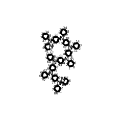 c1ccc(N(c2ccc(N(c3ccccc3)c3ccc(N(c4ccccc4)c4ccc(N(c5ccccc5)c5ccccn5)cc4)cc3)cc2)c2ccc(N(c3ccccc3)c3ccc(N(c4ccccc4)c4ccc(N(c5ccccc5)c5ccccn5)cc4)cc3)cc2)cc1